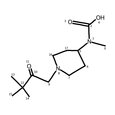 CN(C(=O)O)C1CCN(CC(=O)C(C)(C)C)CC1